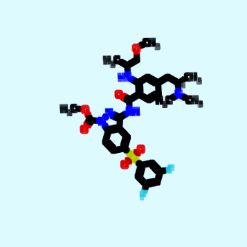 COCC(C)Nc1cc(C[C@@H](C)N(C)C)ccc1C(=O)Nc1nn(C(=O)OC)c2ccc(S(=O)(=O)c3cc(F)cc(F)c3)cc12